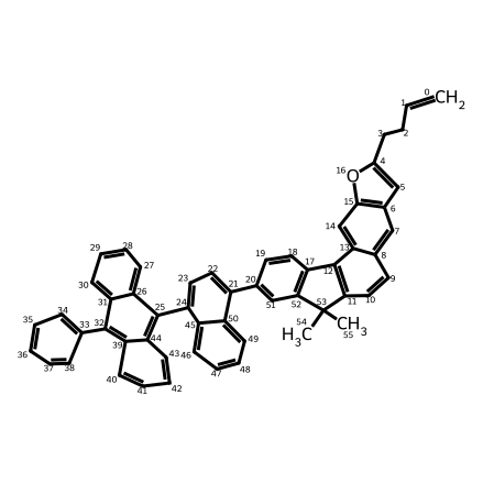 C=CCCc1cc2cc3ccc4c(c3cc2o1)-c1ccc(-c2ccc(-c3c5ccccc5c(-c5ccccc5)c5ccccc35)c3ccccc23)cc1C4(C)C